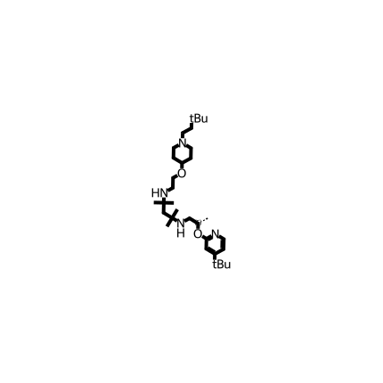 C[C@@H](CNC(C)(C)CC(C)(C)NCCOC1CCN(CCC(C)(C)C)CC1)Oc1cc(C(C)(C)C)ccn1